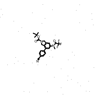 CN(C(=O)C(F)(F)F)c1cc2c(c(-c3ccc(C#N)cc3)c1)CN(C(=O)OC(C)(C)C)C2